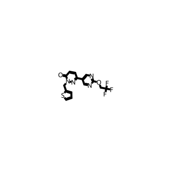 O=c1ccc(-c2cnc(OCC(F)(F)F)nc2)nn1Cc1cccs1